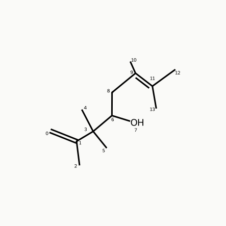 C=C(C)C(C)(C)C(O)CC(C)=C(C)C